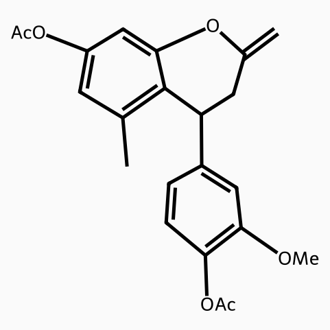 C=C1CC(c2ccc(OC(C)=O)c(OC)c2)c2c(C)cc(OC(C)=O)cc2O1